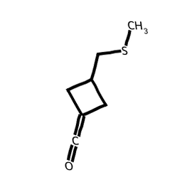 CSCC1CC(=C=O)C1